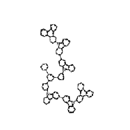 c1ccc(-c2cc(-c3cccc(-n4c5ccccc5c5cc(-c6ccc7c(c6)c6ccccc6n7-c6ccc7c8ccccc8c8ccccc8c7c6)ccc54)c3)cc(-c3cccc(-n4c5ccccc5c5cc(-c6ccc7c(c6)c6ccccc6n7-c6ccc7c8ccccc8c8ccccc8c7c6)ccc54)c3)c2)cc1